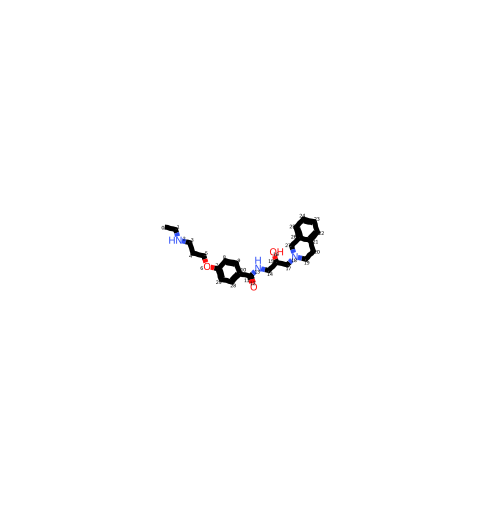 CCNCCCOc1ccc(C(=O)NCC(O)CN2CCc3ccccc3C2)cc1